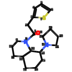 O=C(Cc1cccs1)N1CCCC2CCCC(N3CCCC3)C21